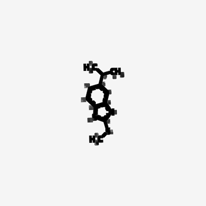 CSc1nc2cc(C(C)C)ccc2s1